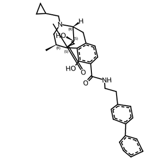 C[C@H]1CN(CC2CC2)[C@@H]2Cc3ccc(C(=O)NCCc4ccc(-c5ccccc5)cc4)c(O)c3[C@]13CC(=O)CC[C@@]23O